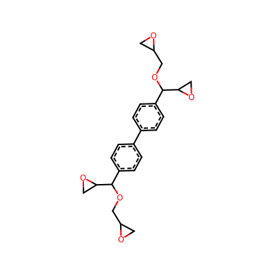 c1cc(C(OCC2CO2)C2CO2)ccc1-c1ccc(C(OCC2CO2)C2CO2)cc1